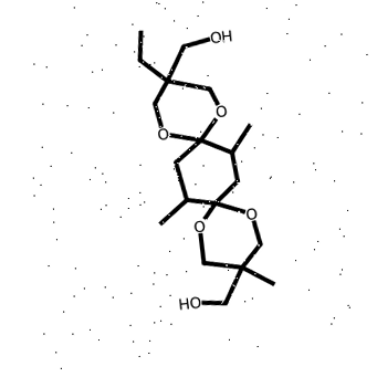 CCC1(CO)COC2(CC(C)C3(CC2C)OCC(C)(CO)CO3)OC1